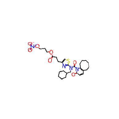 O=C(CCc1csc(N(CC2CCCCC2)C(=O)n2c3c(ccc2=O)CCCCCC3)n1)OCCCO[N+](=O)[O-]